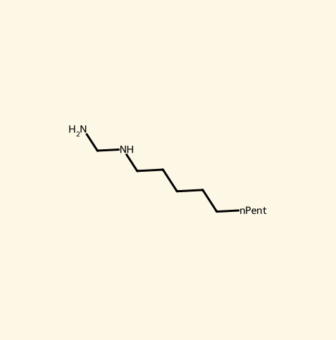 [CH2]CCCCCCCCCNCN